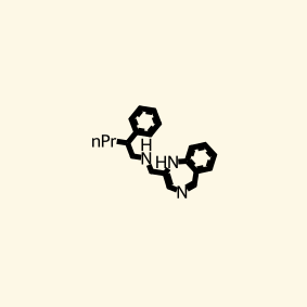 CCCC(CNCC1=CN=Cc2ccccc2N1)c1ccccc1